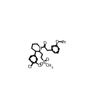 CC(C)Oc1cccc(CC(=O)N2CCCC(c3ccc(Cl)c(Cl)c3)C2CCS(C)(=O)=O)c1